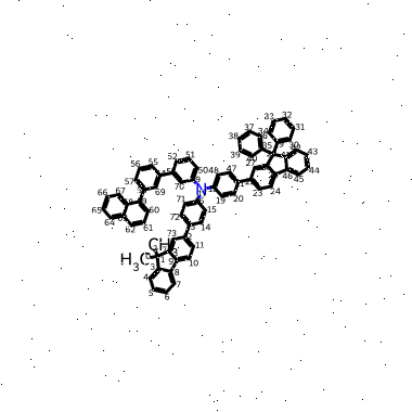 CC1(C)c2ccccc2-c2ccc(-c3ccc(N(c4ccc(-c5ccc6c(c5)C(c5ccccc5)(c5ccccc5)c5ccccc5-6)cc4)c4cccc(-c5cccc(-c6cccc7ccccc67)c5)c4)cc3)cc21